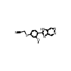 COc1cc(SCC#N)ccc1-c1nc2cnncc2[nH]1